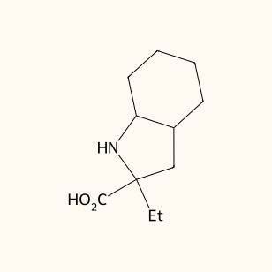 CCC1(C(=O)O)CC2CCCCC2N1